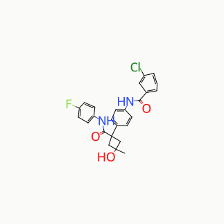 CC1(O)CC(C(=O)Nc2ccc(F)cc2)(c2ccc(NC(=O)c3cccc(Cl)c3)cc2)C1